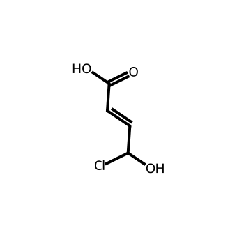 O=C(O)C=CC(O)Cl